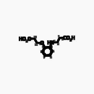 O=C(O)CCNc1ccccc1OCCC(=O)O